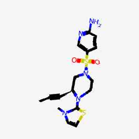 CC#C[C@H]1CN(S(=O)(=O)c2ccc(N)nc2)CCN1C1SC=CN1C